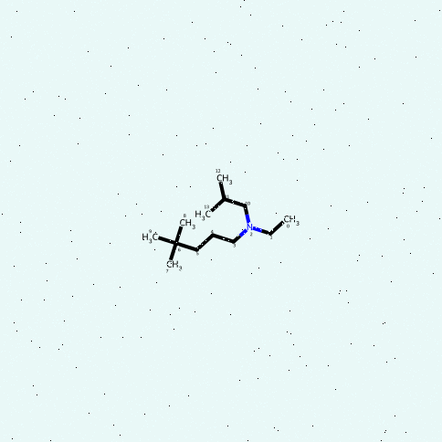 CCN(CCCC(C)(C)C)CC(C)C